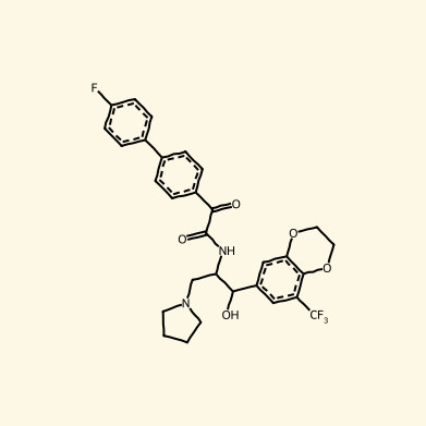 O=C(NC(CN1CCCC1)C(O)c1cc2c(c(C(F)(F)F)c1)OCCO2)C(=O)c1ccc(-c2ccc(F)cc2)cc1